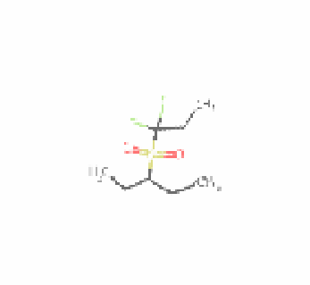 CCC(CC)S(=O)(=O)C(F)(F)CC